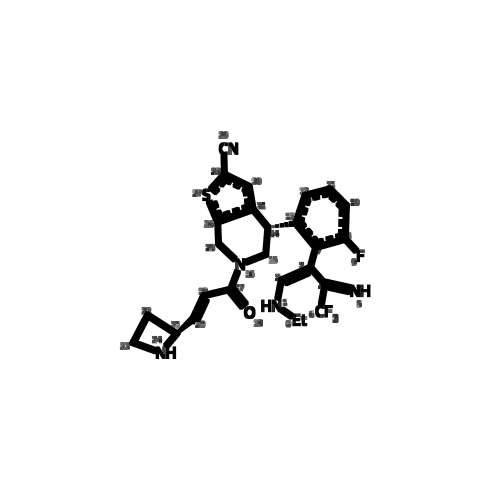 CCN/C=C(\C(=N)C(F)(F)F)c1c(F)cccc1[C@@H]1CN(C(=O)/C=C/[C@@H]2CCN2)Cc2sc(C#N)cc21